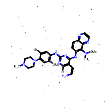 CCc1cc(Nc2nc(CC)c(/C=C\N)c(Nc3ccc4nccnc4c3N(C)SC)n2)c(OC)cc1N1CCN(C)CC1